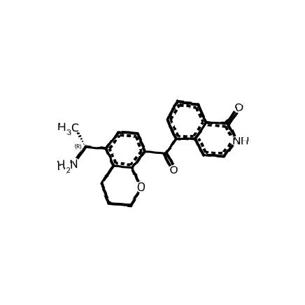 C[C@@H](N)c1ccc(C(=O)c2cccc3c(=O)[nH]ccc23)c2c1CCCO2